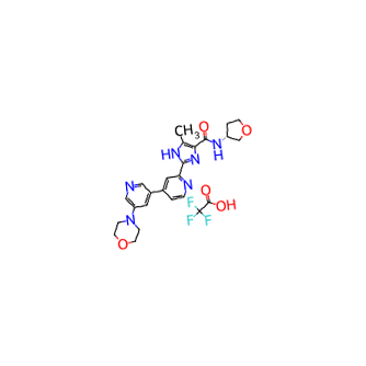 Cc1[nH]c(-c2cc(-c3cncc(N4CCOCC4)c3)ccn2)nc1C(=O)N[C@@H]1CCOC1.O=C(O)C(F)(F)F